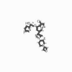 Cc1c(-c2cc(OC[C@](C)(O)c3ccc(F)cn3)c3c(Cl)cnn3c2)nnn1[C@H]1CCN(C2COC2)C[C@@H]1F